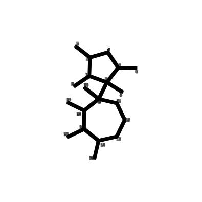 C[C]1C(C)CC(C)C1(C)C1(C)CCCC(C)C(C)C1C